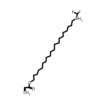 C=CC(=O)OCCCCCCCCCCCCCCCCCCCC[SiH2]C(F)F